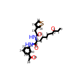 CCC(=O)CCCCC[C@H](NC(=O)Cc1ccsc1)C(=O)Nc1cccc(C(C)=O)c1